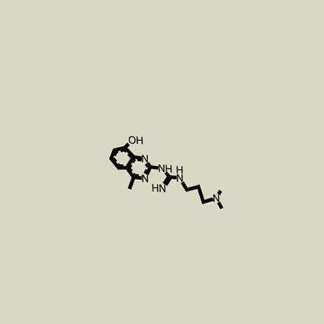 Cc1nc(NC(=N)NCCCN(C)C)nc2c(O)cccc12